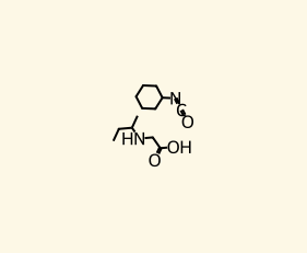 CCC(C)NCC(=O)O.O=C=NC1CCCCC1